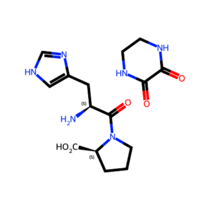 N[C@@H](Cc1c[nH]cn1)C(=O)N1CCC[C@H]1C(=O)O.O=C1NCCNC1=O